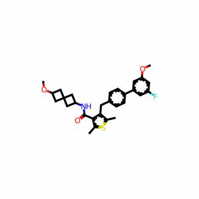 COc1cc(F)cc(-c2ccc(Cc3c(C)sc(C)c3C(=O)NC3CC4(C3)CC(OC)C4)cc2)c1